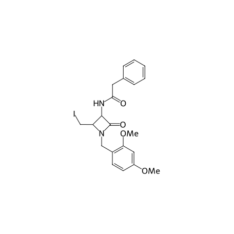 COc1ccc(CN2C(=O)C(NC(=O)Cc3ccccc3)C2CI)c(OC)c1